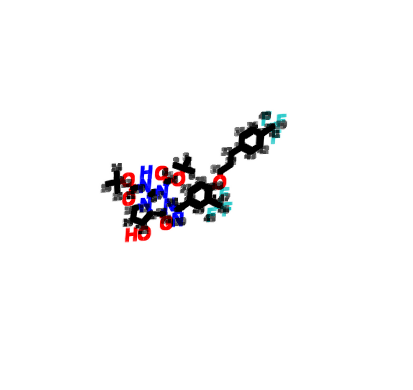 CC(C)(C)OC(=O)/N=C(\NC(=O)OC(C)(C)C)N1CC[C@H](O)[C@H]1c1nc(-c2ccc(OCCCc3ccc(C(F)(F)F)cc3)c(C(F)(F)F)c2)no1